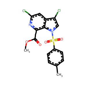 COC(=O)c1nc(Cl)cc2c(Cl)cn(S(=O)(=O)c3ccc(C)cc3)c12